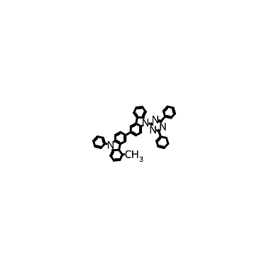 CC1C=CC=C2C1c1cc(-c3ccc4c(c3)c3ccccc3n4-c3nc(C4=CC=CCC4)nc(-c4ccccc4)n3)ccc1N2c1ccccc1